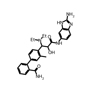 CCN(CC)C(c1ccc(-c2ccccc2C(N)=O)cc1C)C(O)C(=O)Nc1ccc2nc(N)[nH]c2c1